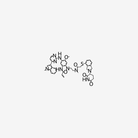 C=CC(=O)Nc1cc(Nc2nccc(-c3cn(C)c4ccccc34)n2)c(OC)cc1N(C)CCN(C)C(=O)CSc1cccc2c1CN(C1CCC(=O)NC1=O)C2